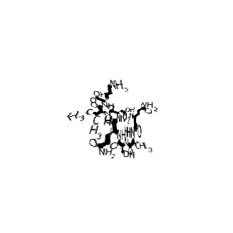 CC(C)[C@H](NC(=O)[C@H](CC(=O)O)NC(=O)[C@H](CCC(N)=O)NC(=O)[C@H](CO)NC(=O)[C@H](C)NC(=O)[C@@H](N)CCC(N)=O)C(=O)N[C@@H](CCCCN)C(=O)O